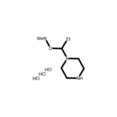 CCC(ONC)N1CCNCC1.Cl.Cl.Cl